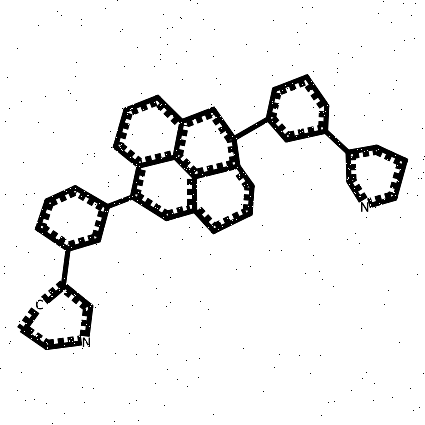 c1cncc(-c2cccc(-c3cc4cccc5c(-c6cccc(-c7cccnc7)c6)cc6cccc3c6c45)c2)c1